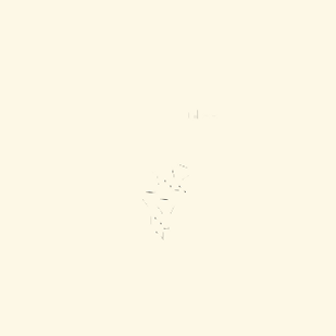 CCCCCCCCCCCCCCCCc1ccc2nc3c4ccc(NC(N)=O)c5cccc(c(=O)n3c2c1)c54